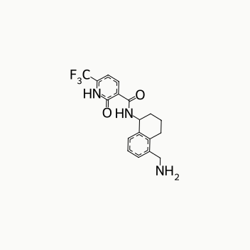 NCc1cccc2c1CCCC2NC(=O)c1ccc(C(F)(F)F)[nH]c1=O